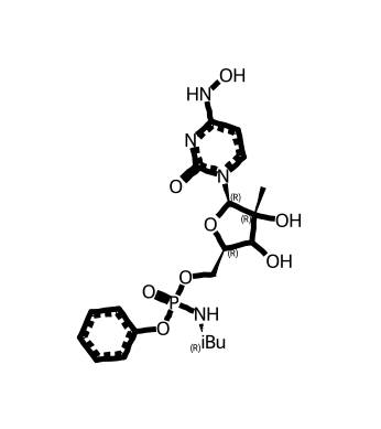 CC[C@@H](C)NP(=O)(OC[C@H]1O[C@@H](n2ccc(NO)nc2=O)[C@](C)(O)C1O)Oc1ccccc1